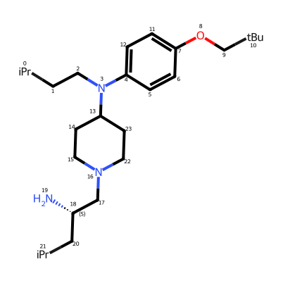 CC(C)CCN(c1ccc(OCC(C)(C)C)cc1)C1CCN(C[C@@H](N)CC(C)C)CC1